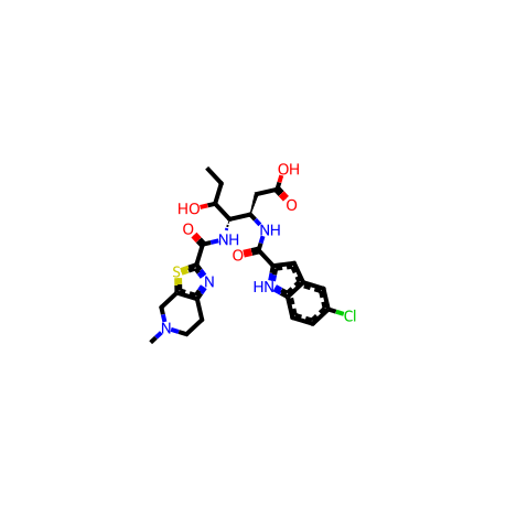 CCC(O)[C@@H](NC(=O)c1nc2c(s1)CN(C)CC2)[C@@H](CC(=O)O)NC(=O)c1cc2cc(Cl)ccc2[nH]1